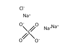 O=S(=O)([O-])[O-].[Cl-].[Na+].[Na+].[Na+]